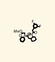 COC(=O)CN(C(=O)CC1CCCC[C@@H]1NC(=O)Cc1cc(F)cc(F)c1)c1ccccc1